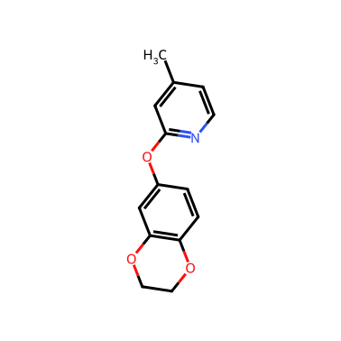 Cc1ccnc(Oc2ccc3c(c2)OCCO3)c1